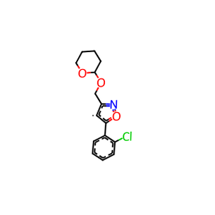 Clc1ccccc1-c1[c]c(COC2CCCCO2)no1